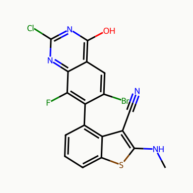 CNc1sc2cccc(-c3c(Br)cc4c(O)nc(Cl)nc4c3F)c2c1C#N